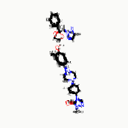 CCC(C)n1ncn(-c2ccc(N3CCN(c4ccc(OC[C@@H]5CO[C@@](Cn6nccn6)(c6ccccc6)O5)c(C)c4)CC3)cc2)c1=O